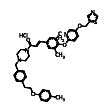 Cc1ccc(OCCc2ccc(CN3CCN(C(=O)/C=C/c4cc(C)c(Oc5ccc(OCc6cncs6)cn5)c(C)c4)CC3)cc2)cc1.Cl